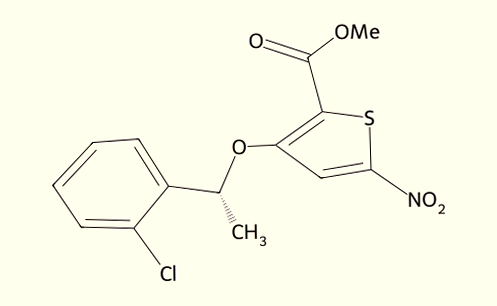 COC(=O)c1sc([N+](=O)[O-])cc1O[C@H](C)c1ccccc1Cl